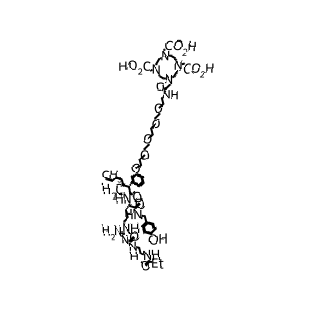 C=C(/C=C\C=C/C)[C@H](C(=O)N[C@H](CCCN/C(N)=N\C(=O)NCCNC(=O)CC)C(=O)NCc1ccc(O)cc1)c1cccc(OCCOCCOCCOCCOCCNC(=O)CN2CCN(CC(=O)O)CCN(CC(=O)O)CCN(CC(=O)O)CC2)c1